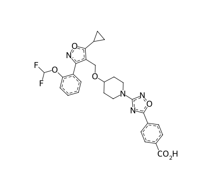 O=C(O)c1ccc(-c2nc(N3CCC(OCc4c(-c5ccccc5OC(F)F)noc4C4CC4)CC3)no2)cc1